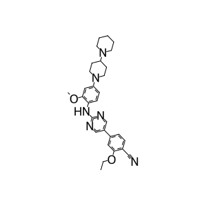 CCOc1cc(-c2cnc(Nc3ccc(N4CCC(N5CCCCC5)CC4)cc3OC)nc2)ccc1C#N